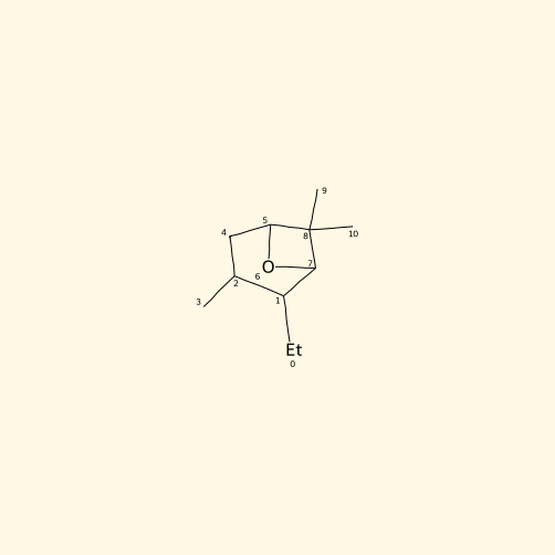 CCC1C(C)CC2OC1C2(C)C